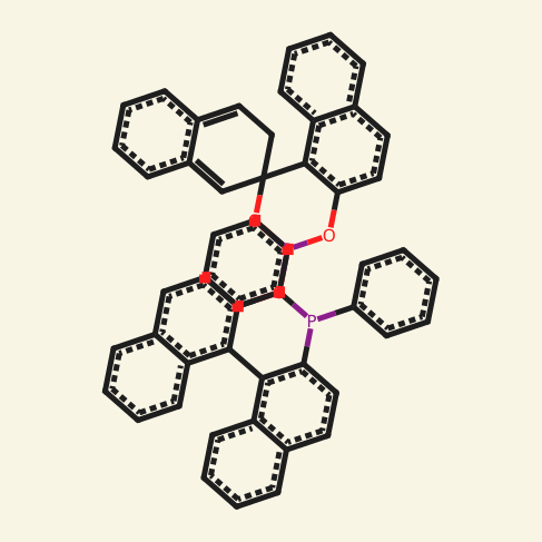 C1=c2ccccc2=CC2(C1)OP(Oc1ccc3ccccc3c1-c1c(P(c3ccccc3)c3ccccc3)ccc3ccccc13)Oc1ccc3ccccc3c12